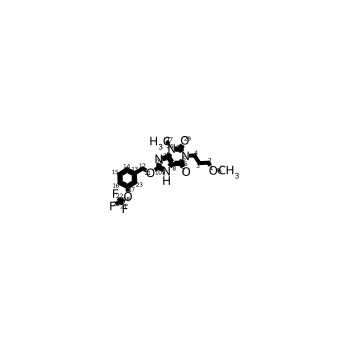 COCCCn1c(=O)c2[nH]c(OCc3cccc(OC(F)(F)F)c3)nc2n(C)c1=O